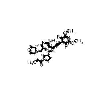 C=CC(=O)N1CC[C@H](c2nc(C#Cc3c(F)c(OC)nc(OC)c3F)c3c(N)ncc(CN4CCOCC4)n23)C1